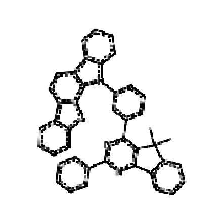 CC1(C)c2ccccc2-c2nc(-c3ccccc3)nc(-c3cccc(-n4c5ccccc5c5ccc6c7ccccc7sc6c54)c3)c21